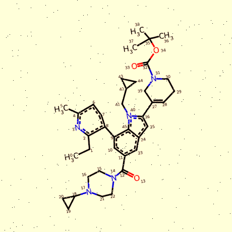 CCc1nc(C)ccc1-c1cc(C(=O)N2CCN(C3CC3)CC2)cc2cc(C3=CCCN(C(=O)OC(C)(C)C)C3)n(CC3CC3)c12